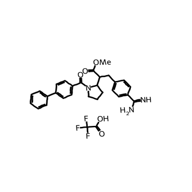 COC(=O)C(Cc1ccc(C(=N)N)cc1)C1CCCN1C(=O)c1ccc(-c2ccccc2)cc1.O=C(O)C(F)(F)F